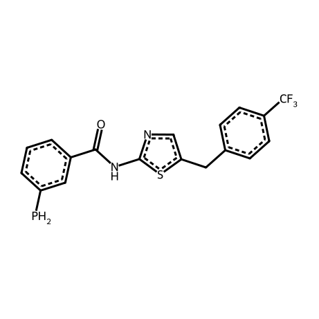 O=C(Nc1ncc(Cc2ccc(C(F)(F)F)cc2)s1)c1cccc(P)c1